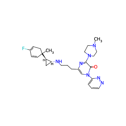 CN1CCN(c2nc(CCCN[C@@H]3C[C@H]3C3(C)C=CC(F)=CC3)cn(-c3cccnn3)c2=O)CC1